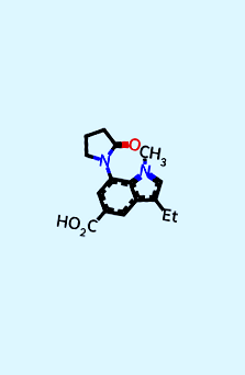 CCc1cn(C)c2c(N3CCCC3=O)cc(C(=O)O)cc12